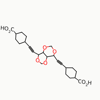 O=C(O)C1CCC(C#CC2OCOC3C(C#CC4CCC(C(=O)O)CC4)OCOC23)CC1